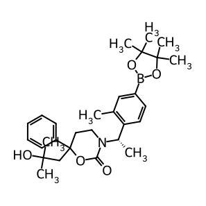 Cc1cc(B2OC(C)(C)C(C)(C)O2)ccc1[C@H](C)N1CCC(CC(C)(C)O)(c2ccccc2)OC1=O